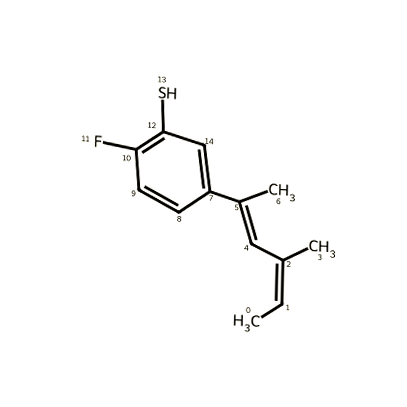 C/C=C(C)\C=C(/C)c1ccc(F)c(S)c1